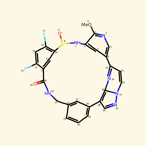 COc1ncc2cc1N[S+]([O-])c1cc(c(F)cc1F)C(=O)NCc1cccc(c1)-c1cnn3ccc-2nc13